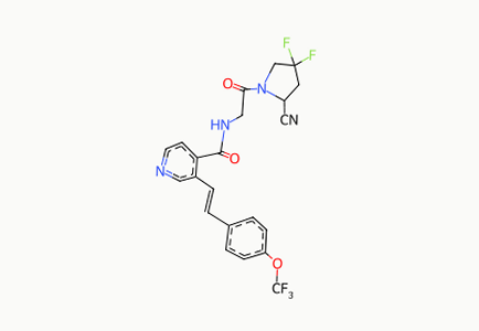 N#CC1CC(F)(F)CN1C(=O)CNC(=O)c1ccncc1/C=C/c1ccc(OC(F)(F)F)cc1